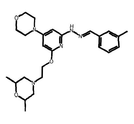 Cc1cccc(/C=N/Nc2cc(N3CCOCC3)cc(OCCN3CC(C)OC(C)C3)n2)c1